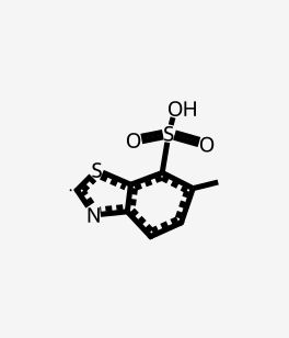 Cc1ccc2n[c]sc2c1S(=O)(=O)O